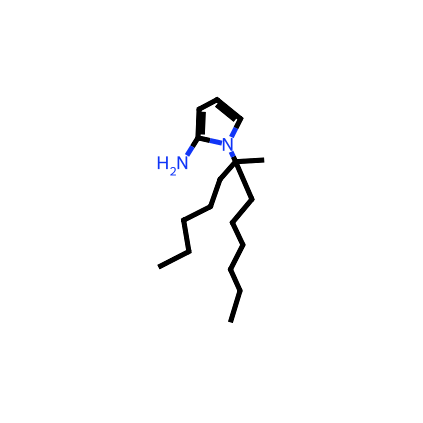 CCCCCCC(C)(CCCCC)n1cccc1N